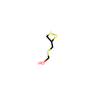 OCSCC1CSS1